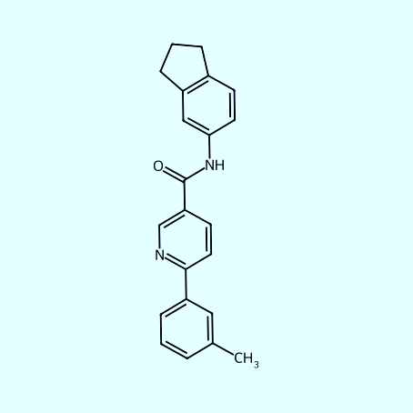 Cc1cccc(-c2ccc(C(=O)Nc3ccc4c(c3)CCC4)cn2)c1